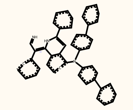 N=C/C(=C1\NC(c2ccccc2)=Cc2c1cccc2N(c1ccc(-c2ccccc2)cc1)c1ccc(-c2ccccc2)cc1)c1ccccc1